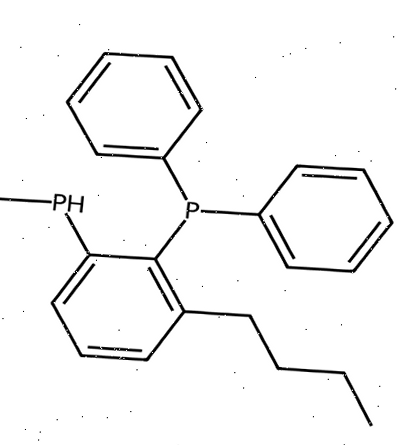 CCCCc1cccc(PC)c1P(c1ccccc1)c1ccccc1